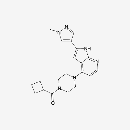 Cn1cc(-c2cc3c(N4CCN(C(=O)C5CCC5)CC4)ccnc3[nH]2)cn1